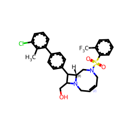 Cc1c(Cl)cccc1-c1ccc(C2C(CO)N3C/C=C\CN(S(=O)(=O)c4ccccc4C(F)(F)F)C[C@@H]23)cc1